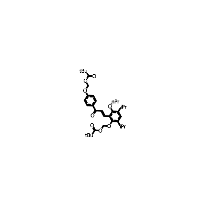 CCCOc1c(C(C)C)cc(C(C)C)c(OCOC(=O)C(C)(C)C)c1C=CC(=O)c1ccc(OCOC(=O)C(C)(C)C)cc1